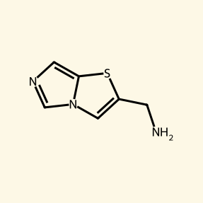 NCc1cn2cncc2s1